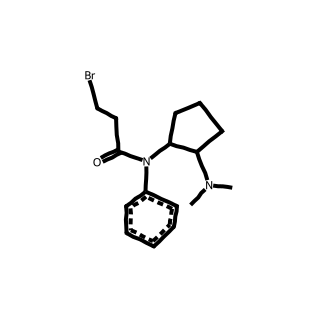 CN(C)C1CCCC1N(C(=O)CCBr)c1ccccc1